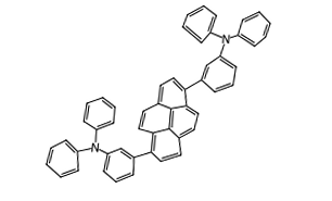 c1ccc(N(c2ccccc2)c2cccc(-c3ccc4ccc5c(-c6cccc(N(c7ccccc7)c7ccccc7)c6)ccc6ccc3c4c65)c2)cc1